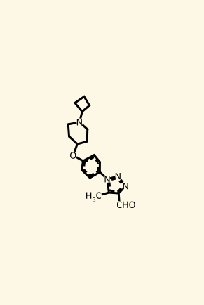 Cc1c(C=O)nnn1-c1ccc(OC2CCN(C3CCC3)CC2)cc1